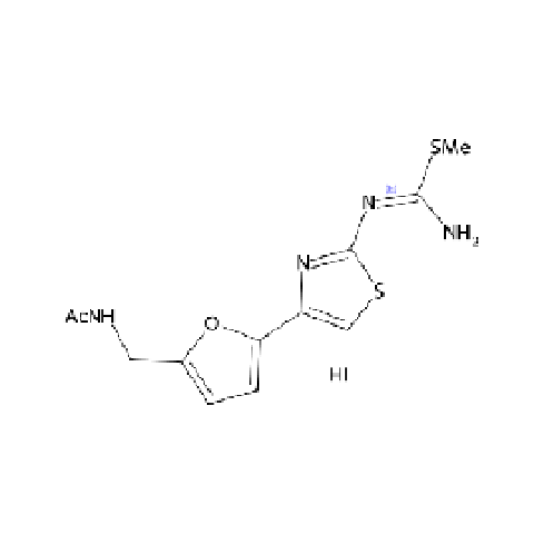 CS/C(N)=N/c1nc(-c2ccc(CNC(C)=O)o2)cs1.I